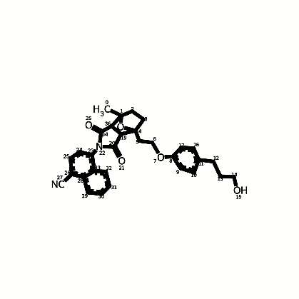 CC12CCC(CCOc3ccc(CCCO)cc3)(O1)C1C(=O)N(c3ccc(C#N)c4ccccc34)C(=O)C12